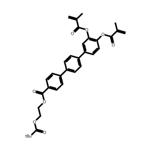 C=C(C)C(=O)Oc1ccc(-c2ccc(-c3ccc(C(=O)OCCOC(=O)C(C)(C)C)cc3)cc2)cc1OC(=O)C(=C)C